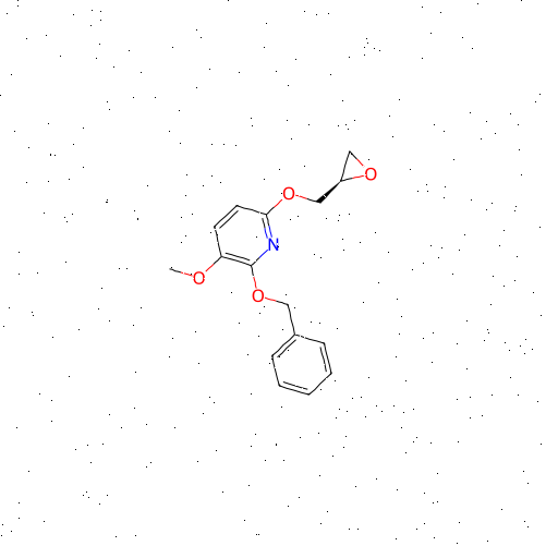 COc1ccc(OC[C@H]2CO2)nc1OCc1ccccc1